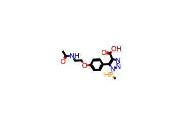 CPn1nnc(C(=O)O)c1-c1ccc(OCCNC(C)=O)cc1